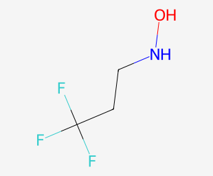 ONCCC(F)(F)F